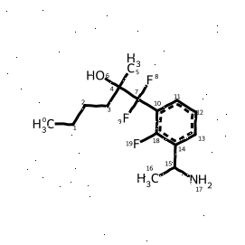 CCCCC(C)(O)C(F)(F)c1cccc(C(C)N)c1F